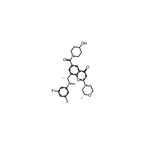 C[C@@H]1CN(c2cc(=O)c3cc(C(=O)N4CCC(O)CC4)cc([C@@H](C)N(C)c4cc(F)cc(F)c4)c3o2)CCO1